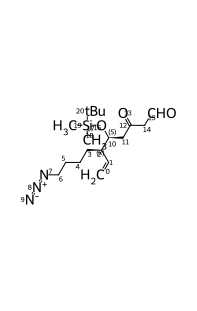 C=C[C@@H](CCCCN=[N+]=[N-])[C@H](CC(=O)CC=O)O[Si](C)(C)C(C)(C)C